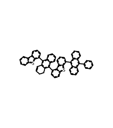 C1=Cc2c(c(-c3cccc4sc5c(-c6c7ccccc7c(-c7ccccc7)c7ccccc67)cccc5c34)c3ccccc3c2-c2cccc3c2sc2ccccc23)CC1